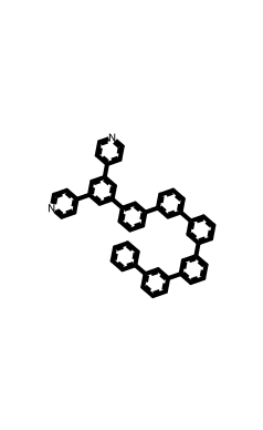 c1ccc(-c2cccc(-c3cccc(-c4cccc(-c5cccc(-c6cccc(-c7cc(-c8ccncc8)cc(-c8ccncc8)c7)c6)c5)c4)c3)c2)cc1